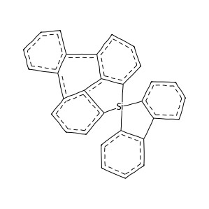 c1ccc2c(c1)-c1ccccc1[Si]21c2cccc3c4ccccc4c4cccc1c4c23